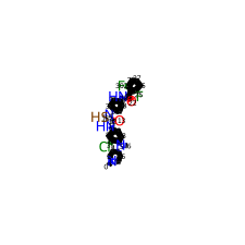 CN1CCC(N(C)c2ccc(NC(=O)N(S)c3ccc(NC(=O)c4c(F)cccc4F)cc3)cc2Cl)CC1